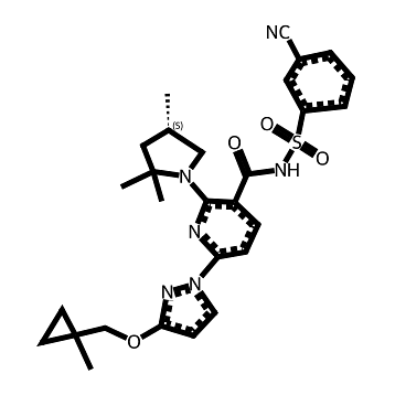 C[C@@H]1CN(c2nc(-n3ccc(OCC4(C)CC4)n3)ccc2C(=O)NS(=O)(=O)c2cccc(C#N)c2)C(C)(C)C1